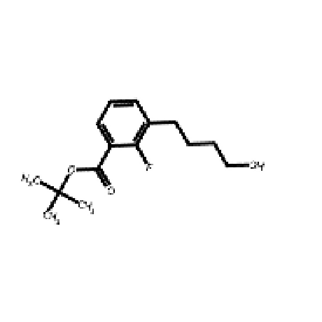 CC(C)(C)OC(=O)c1cccc(CCCCO)c1F